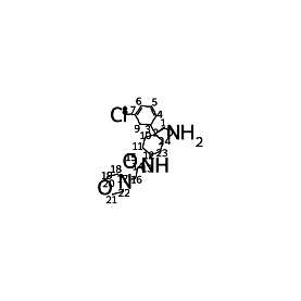 NC[C@]1(C2C=CC=C(Cl)C2)CC[C@H](NC(=O)CN2CCOCC2)CC1